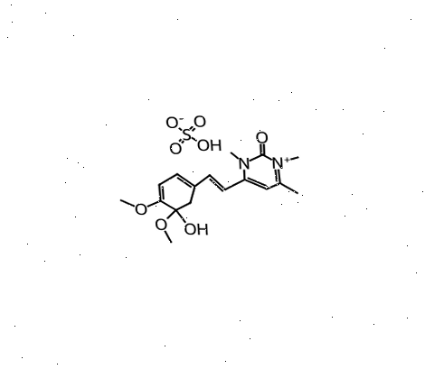 COC1=CC=C(C=Cc2cc(C)[n+](C)c(=O)n2C)CC1(O)OC.O=S(=O)([O-])O